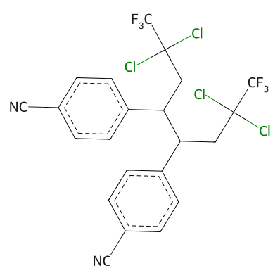 N#Cc1ccc(C(CC(Cl)(Cl)C(F)(F)F)C(CC(Cl)(Cl)C(F)(F)F)c2ccc(C#N)cc2)cc1